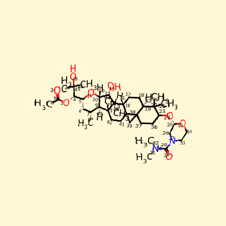 CC(=O)O[C@@H]([C@H]1C[C@@H](C)[C@H]2[C@H](O1)[C@H](O)[C@@]1(C)[C@@H]3CC[C@H]4C(C)(C)C(O[C@H]5CN(C(=O)N(C)C)CCO5)CCC45C[C@@]35CC[C@]21C)C(C)(C)O